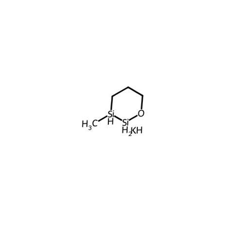 C[SiH]1CCCO[SiH2]1.[KH]